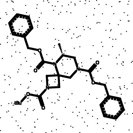 C[C@@H]1CN(C(=O)OCc2ccccc2)CC2(CN(C(=O)OC(C)(C)C)C2)N1C(=O)OCc1ccccc1